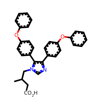 CC(CC(=O)O)Cn1cnc(-c2ccc(Oc3ccccc3)cc2)c1-c1ccc(Oc2ccccc2)cc1